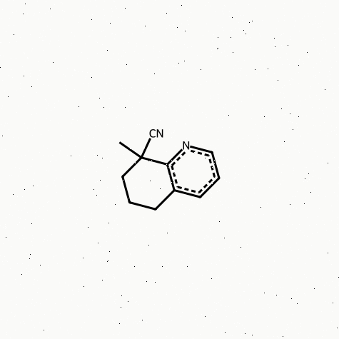 CC1(C#N)CCCc2cccnc21